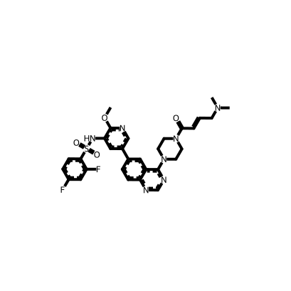 COc1ncc(-c2ccc3ncnc(N4CCN(C(=O)/C=C/CN(C)C)CC4)c3c2)cc1NS(=O)(=O)c1ccc(F)cc1F